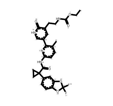 CCOC(=O)NCCc1cc(-c2nc(NC(=O)C3(c4ccc5c(c4)OC(F)(F)O5)CC3)ccc2C)c[nH]c1=O